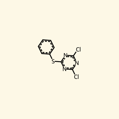 Clc1nc(Cl)nc(Sc2ccccc2)n1